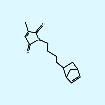 CC1=CC(=O)N(CCCCC2CC3C=CC2C3)C1=O